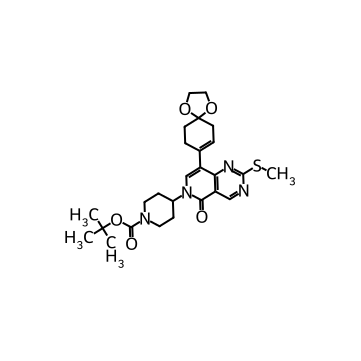 CSc1ncc2c(=O)n(C3CCN(C(=O)OC(C)(C)C)CC3)cc(C3=CCC4(CC3)OCCO4)c2n1